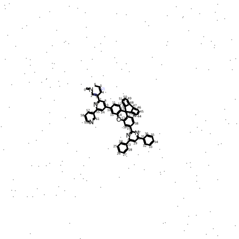 C=N/C=C(\C=C/C)c1cc(-c2ccc3c(c2)Oc2cc(-c4nc(-c5ccccc5)cc(-c5ccccc5)n4)ccc2C32c3ccccc3-c3ccccc32)cc(-c2cccnc2)n1